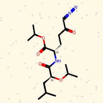 CC(C)C[C@H](OC(C)C)C(=O)N[C@@H](CCC(=O)C=[N+]=[N-])C(=O)OC(C)C